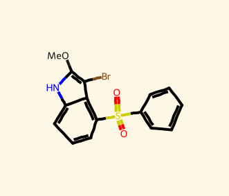 COc1[nH]c2cccc(S(=O)(=O)c3ccccc3)c2c1Br